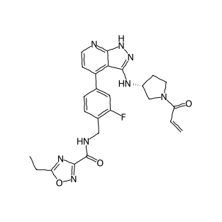 C=CC(=O)N1CC[C@@H](Nc2n[nH]c3nccc(-c4ccc(CNC(=O)c5noc(CC)n5)c(F)c4)c23)C1